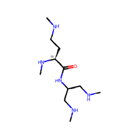 CNCC[C@H](NC)C(=O)NC(CNC)CNC